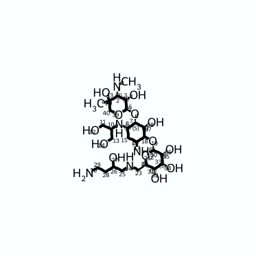 CN[C@@H]1[C@@H](O)[C@@H](O[C@H]2[C@H](NC(CO)CO)C[C@H](N)C(O[C@H]3O[C@H](CNCC(O)CCN)[C@@H](O)[C@H](O)[C@H]3O)[C@@H]2O)OC[C@]1(C)O